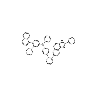 C1=CCCC(c2cc(N(c3ccccc3)c3ccc(C4CC=CC=C4c4ccc5c(ccc6oc(-c7ccccc7)nc65)c4)cc3)ccc2-c2cccc3ccccc23)=C1